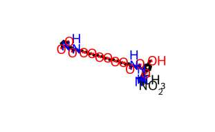 Cn1c(COc2ccc(CO)cc2NC(=O)CNC(=O)CCOCCOCCOCCOCCOCCOCCNC(=O)CCN2C(=O)C=CC2=O)cnc1[N+](=O)[O-]